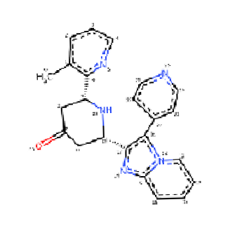 Cc1cccnc1[C@H]1CC(=O)C[C@@H](c2nc3ccccn3c2-c2ccncc2)N1